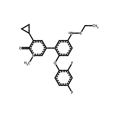 CCSNc1ccc(Oc2ccc(F)cc2F)c(-c2cc(C3CC3)c(=O)n(C)c2)c1